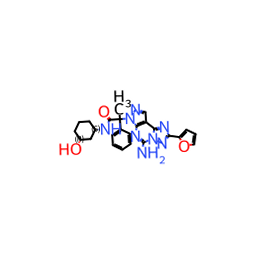 CC(C(=O)N[C@H]1CCC[C@@H](O)C1)(c1ccccc1)n1ncc2c1nc(N)n1nc(-c3ccco3)nc21